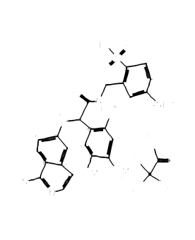 CCS(=O)(=O)c1ccc(NC(C)=O)cc1CNC(=O)C(Oc1ccc2c(N)nccc2c1)c1cc(OC)c(OC)cc1F.O=C(O)C(F)(F)F